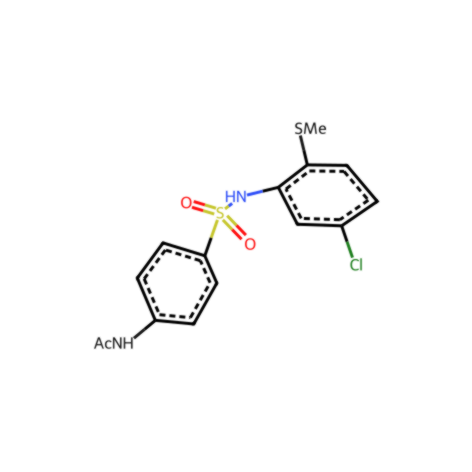 CSc1ccc(Cl)cc1NS(=O)(=O)c1ccc(NC(C)=O)cc1